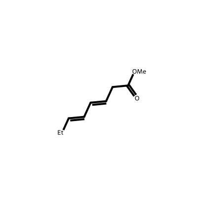 CCC=CC=CCC(=O)OC